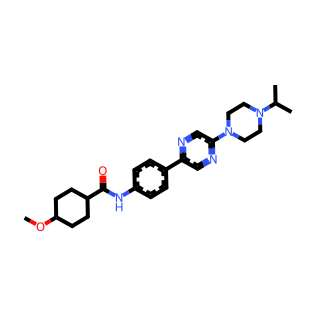 COC1CCC(C(=O)Nc2ccc(-c3cnc(N4CCN(C(C)C)CC4)cn3)cc2)CC1